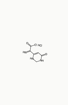 Cl.N=C(C(=O)Cl)C1=CC(=O)NCN1